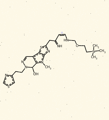 Cn1c2c(c3sc(CC(=N)/C=C\NCOCC[Si](C)(C)C)nc31)C=NN(CCc1cscn1)C2O